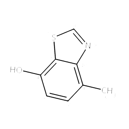 Cc1ccc(O)c2scnc12